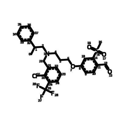 CC(CN(CCCOc1ccc(C=O)c(S(C)(=O)=O)c1)Cc1cccc(C(F)(F)F)c1Cl)c1ccccc1